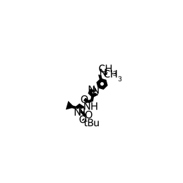 CN(C)Cc1cccc(-n2cc(CC(=O)Nc3cc(C4CC4)nn3C(=O)OC(C)(C)C)cn2)c1